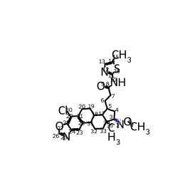 CO/N=C1\CC(CCC(=O)Nc2ncc(C)s2)C2C3CCc4c(cc5ncoc5c4Cl)C3CCC12C